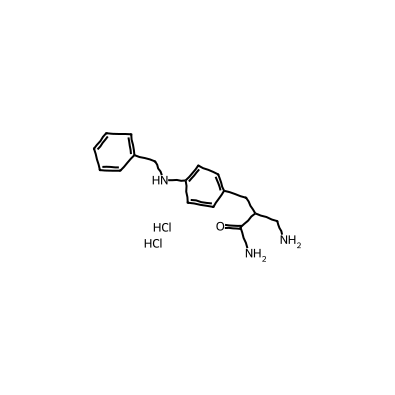 Cl.Cl.NCC(Cc1ccc(NCc2ccccc2)cc1)C(N)=O